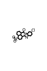 O=c1c2cccc3c([N+](=O)[O-])ccc(c32)c2nc3ccc(Cl)cc3n12